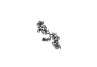 [2H]C([2H])(CCCCC([2H])([2H])C(=O)ON1C(=O)CC(S(=O)(=O)O)C1=O)C(=O)ON1C(=O)CC(S(=O)(=O)O)C1=O.[NaH].[NaH]